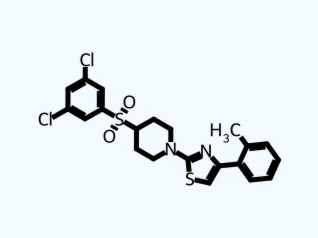 Cc1ccccc1-c1csc(N2CCC(S(=O)(=O)c3cc(Cl)cc(Cl)c3)CC2)n1